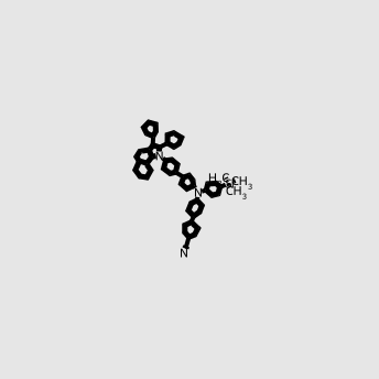 C[Si](C)(C)c1ccc(N(c2ccc(-c3ccc(C#N)cc3)cc2)c2ccc(-c3ccc(-n4c(-c5ccccc5)c(-c5ccccc5)c5ccc6ccccc6c54)cc3)cc2)cc1